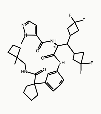 Cn1nccc1C(=O)N[C@H](C(=O)Nc1cccc(C2(C(=O)NCC3(C)CCC3)CCCC2)c1)C(C1CC(F)(F)C1)C1CC(F)(F)C1